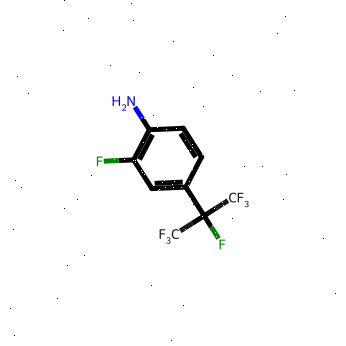 Nc1ccc(C(F)(C(F)(F)F)C(F)(F)F)cc1F